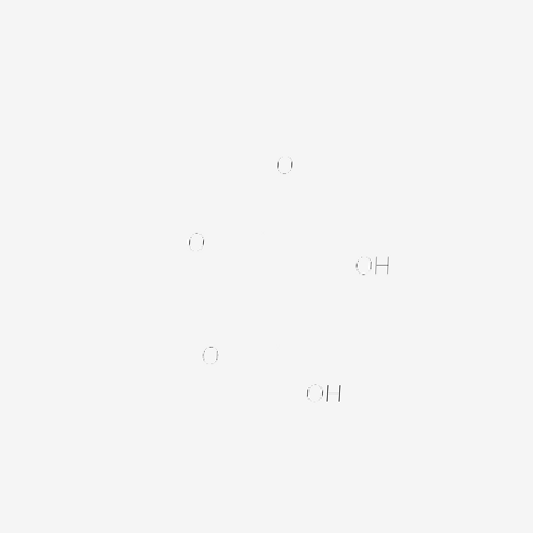 CCCC.COC(=O)C(O)C(=O)O